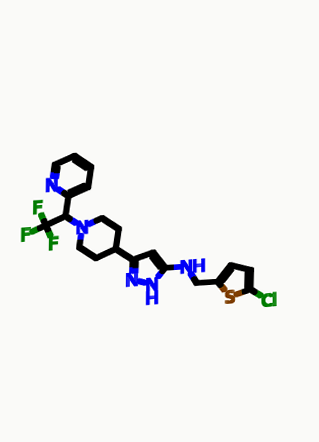 FC(F)(F)C(c1ccccn1)N1CCC(c2cc(NCc3ccc(Cl)s3)[nH]n2)CC1